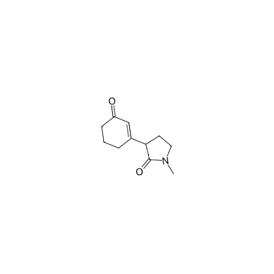 CN1CCC(C2=CC(=O)CCC2)C1=O